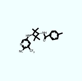 Cc1ccc(C(=O)N[C@H]2C(C)(C)[C@H](Nc3cnc(C#N)c(C(F)(F)F)c3)C2(C)C)cc1